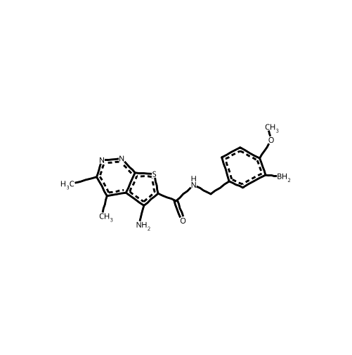 Bc1cc(CNC(=O)c2sc3nnc(C)c(C)c3c2N)ccc1OC